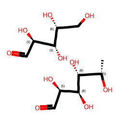 C[C@H](O)[C@@H](O)[C@@H](O)[C@H](O)C=O.O=C[C@@H](O)[C@@H](O)[C@H](O)CO